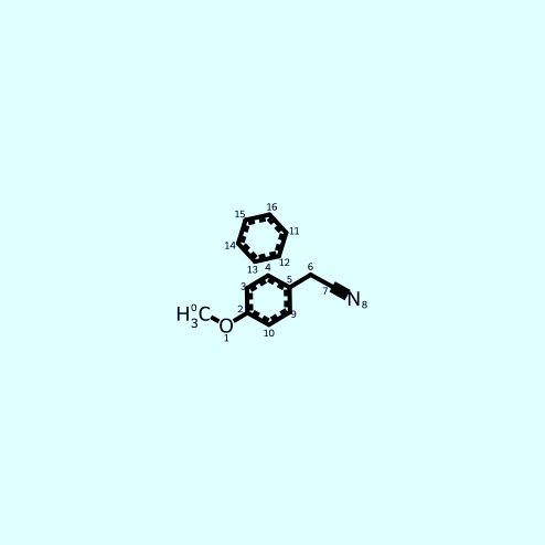 COc1ccc(CC#N)cc1.c1ccccc1